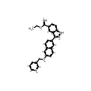 CCOC(=N)c1ccc2[nH]nc(-c3ccc4cc(OCc5cccnc5)ccc4c3)c2c1